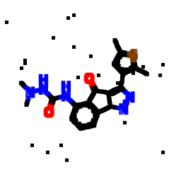 Cc1cc(C2=C3C(=O)c4c(NC(=O)NN(C)C)cccc4C3N=N2)c(C)s1